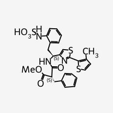 COC(=O)[C@@H](Cc1ccccc1)C(=O)N[C@@H](Cc1ccccc1NS(=O)(=O)O)c1csc(-c2sccc2C)n1